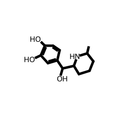 CC1CCCC(C(O)c2ccc(O)c(O)c2)N1